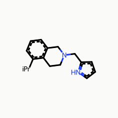 CC(C)c1cccc2c1CCN(Cc1ccc[nH]1)C2